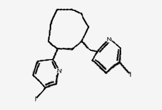 Ic1ccc(C2CCCCCCC(c3ccc(I)cn3)C2)nc1